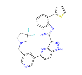 FC1(F)CCN(Cc2cncc(-c3ccc4[nH]nc(-c5nc6c(-c7cccs7)cccc6[nH]5)c4n3)c2)C1